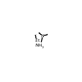 CN(C)C.N.[CH2]CC